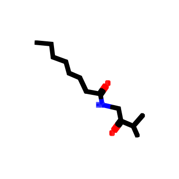 CCCCCCCC(=O)NCC(=O)C(C)C